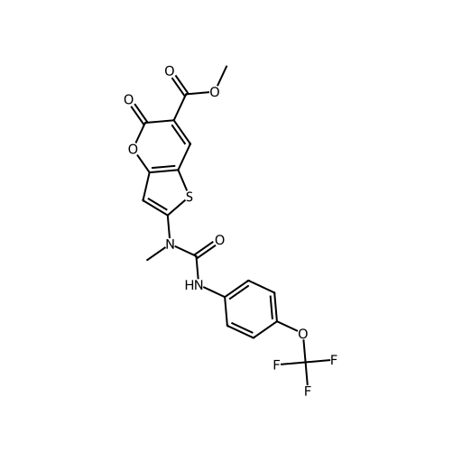 COC(=O)c1cc2sc(N(C)C(=O)Nc3ccc(OC(F)(F)F)cc3)cc2oc1=O